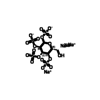 O=S(=O)([O-])OC1O[C@H](CO)[C@@H](OS(=O)(=O)[O-])[C@H](OS(=O)(=O)[O-])[C@H]1OS(=O)(=O)[O-].[Na+].[Na+].[Na+].[Na+]